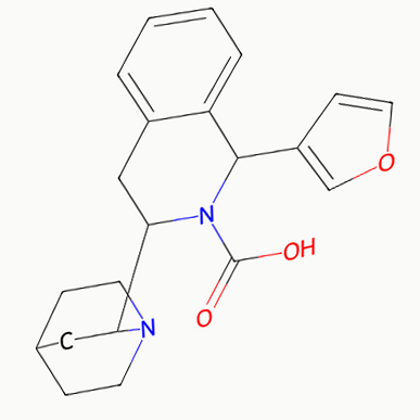 O=C(O)N1C(c2ccoc2)c2ccccc2CC1C1CC2CCN1CC2